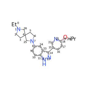 CCN1CCC2(CCN(c3ccc4[nH]nc(-c5ccc(OC(C)C)nc5)c4c3)C2)C1